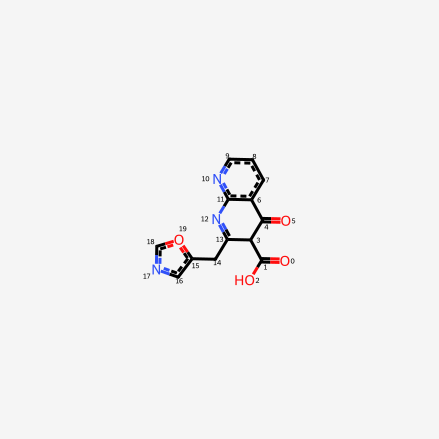 O=C(O)C1C(=O)c2cccnc2N=C1Cc1cnco1